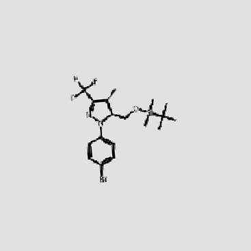 C[C@@H]1C(C(F)(F)F)=NN(c2ccc(Br)cc2)C1CO[Si](C)(C)C(C)(C)C